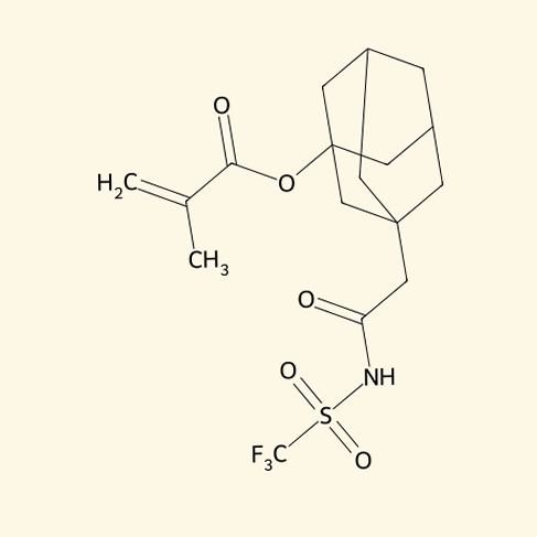 C=C(C)C(=O)OC12CC3CC(CC(CC(=O)NS(=O)(=O)C(F)(F)F)(C3)C1)C2